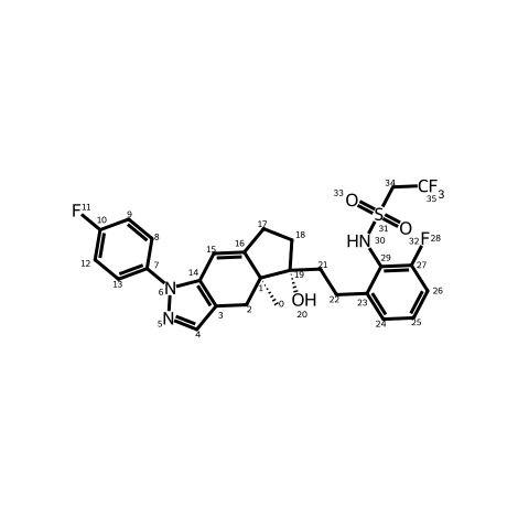 C[C@]12Cc3cnn(-c4ccc(F)cc4)c3C=C1CC[C@@]2(O)CCc1cccc(F)c1NS(=O)(=O)CC(F)(F)F